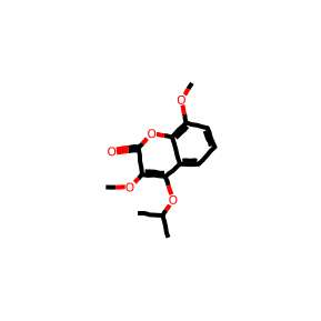 COc1c(OC(C)C)c2cccc(OC)c2oc1=O